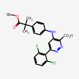 CC(C)(C)OC(=O)C(C)(C)c1ccc(Nc2cc(-c3c(F)cccc3Cl)nnc2C(=O)O)cc1